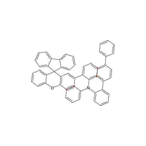 c1ccc(-c2ccc(-c3ccccc3N(c3ccccc3)c3ccccc3-c3ccc4c(c3)C3(c5ccccc5O4)c4ccccc4-c4ccccc43)cc2)cc1